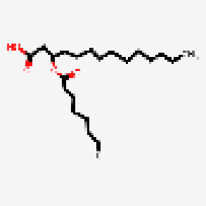 CCCCCCCCCCCC(CC(=O)O)OC(=O)CCCCCCC